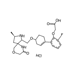 C[C@@H]1CC2(COCC(=O)N2)C(COC2CC=C(c3cccc(F)c3OCC(=O)O)CC2)N1.Cl